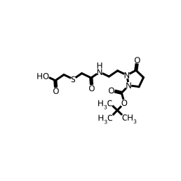 CC(C)(C)OC(=O)N1CCC(=O)N1CCNC(=O)CSCC(=O)O